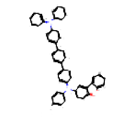 C[Si](C)(C)c1ccc(N(c2ccc(-c3ccc(-c4ccc(N(c5ccccc5)c5ccccc5)cc4)cc3)cc2)c2ccc3oc4ccccc4c3c2)cc1